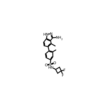 Cc1cc(S(=O)(=O)NC2CC(F)(F)C2)ccc1-c1ccc2[nH]nc(N)c2c1C